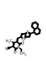 CCN1C(=O)C(C#N)=C(C)/C(=C/c2cc3sc(-c4cccc5ccccc45)cc3o2)C1=O